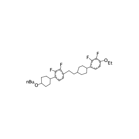 CCCCOC1CCC(c2ccc(CCC3CCC(c4ccc(OCC)c(F)c4F)CC3)c(F)c2F)CC1